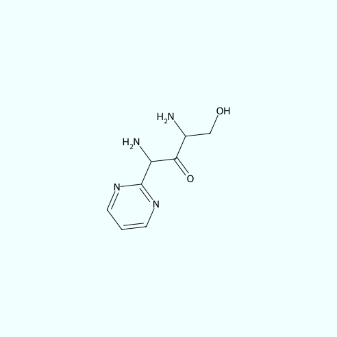 NC(CO)C(=O)C(N)c1ncccn1